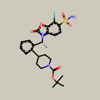 C[C@H](c1ccccc1C1CCN(C(=O)OC(C)(C)C)CC1)n1c(=O)oc2c(F)c(S(N)(=O)=O)ccc21